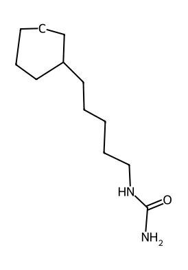 NC(=O)NCCCCCC1CCCCC1